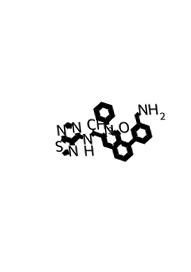 C[C@H](Nc1ncnc2scnc12)c1cc2cccc(-c3cccc(CN)c3)c2c(=O)n1-c1ccccc1